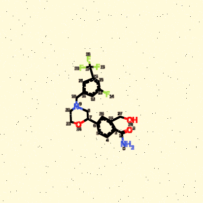 NC(=O)c1ccc(C2CN(Cc3cc(F)cc(C(F)(F)F)c3)CCO2)cc1CO